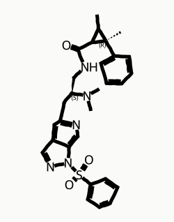 CC1C(C(=O)NC[C@H](Cc2cc3cnn(S(=O)(=O)c4ccccc4)c3cn2)N(C)C)[C@]1(C)c1ccccc1